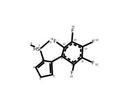 C[SiH](C)C1=[C]CC=C1c1c(F)c(F)c(F)c(F)c1F